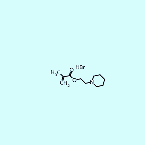 Br.C=C(C)C(=O)OCCN1CCCCC1